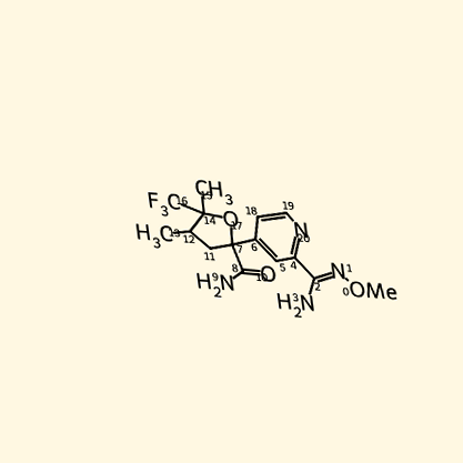 CO/N=C(\N)c1cc(C2(C(N)=O)CC(C)C(C)(C(F)(F)F)O2)ccn1